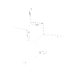 COC(=O)c1cc(C)c(C(F)(F)F)cc1N